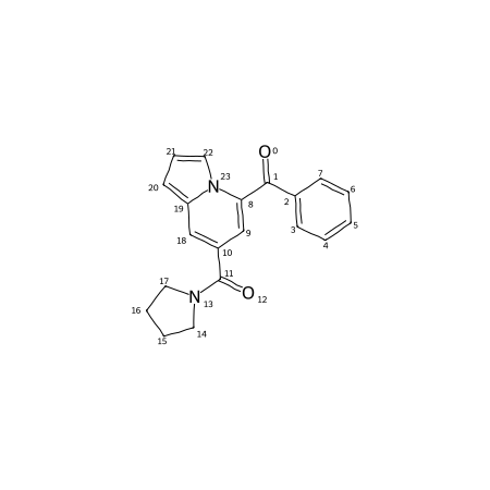 O=C(c1ccccc1)c1cc(C(=O)N2CCCC2)cc2cccn12